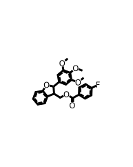 COc1cc(C2Oc3ccccc3C2COC(=O)c2ccc(F)cc2)cc(OC)c1OC